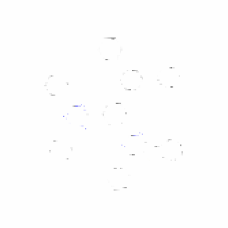 c1ccc(-c2cc(-c3ccccc3)cc(-c3cc(-c4nc(-c5ccccc5)nc(-c5ccccc5)n4)cc(-c4nc(-c5ccccc5)c5sc6ccccc6c5n4)c3)c2)cc1